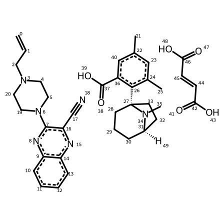 C=CCN1CCN(c2nc3ccccc3nc2C#N)CC1.Cc1cc(C)c([C@]23CCC[C@H](CC2)N3C)c(C(=O)O)c1.O=C(O)C=CC(=O)O